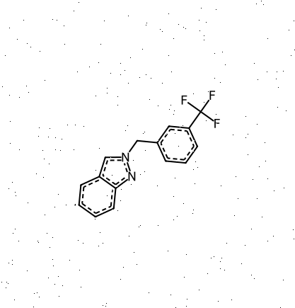 FC(F)(F)c1cccc(Cn2cc3c[c]ccc3n2)c1